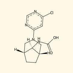 O=C(O)N[C@@H]1[C@@H]2CC[C@H]1CN(c1cc(Cl)ncn1)C2